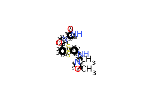 CC(CN1CCOC(C)C1)Nc1ccc2c(c1)Sc1cccc(C3CN(c4cc[nH]c(=O)c4)CCO3)c1S2